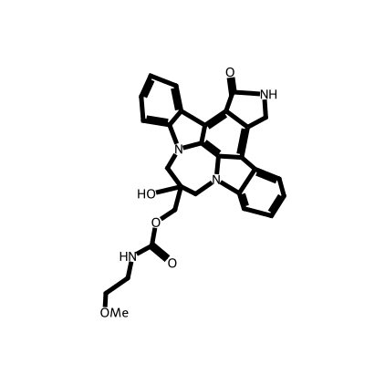 COCCNC(=O)OCC1(O)Cn2c3ccccc3c3c4c(c5c6ccccc6n(c5c32)C1)C(=O)NC4